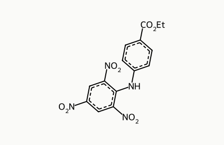 CCOC(=O)c1ccc(Nc2c([N+](=O)[O-])cc([N+](=O)[O-])cc2[N+](=O)[O-])cc1